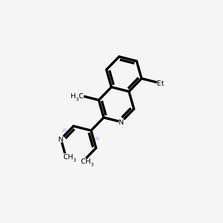 C/C=C(\C=N/C)c1ncc2c(CC)cccc2c1C